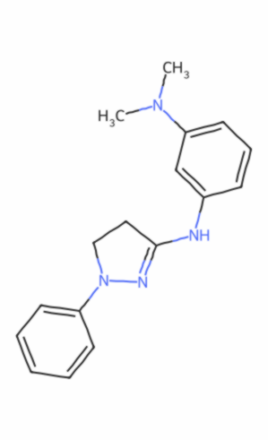 CN(C)c1cccc(NC2=NN(c3ccccc3)CC2)c1